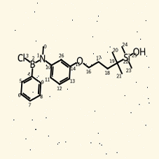 CN(B(Cl)c1ccccc1)c1cccc(OCCCC(C)(C)[Si](C)(C)O)c1